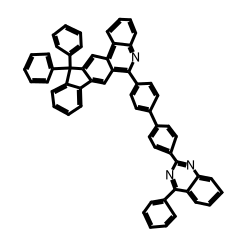 c1ccc(-c2nc(-c3ccc(-c4ccc(-c5nc6ccccc6c6cc7c(cc56)-c5ccccc5C7(c5ccccc5)c5ccccc5)cc4)cc3)nc3ccccc23)cc1